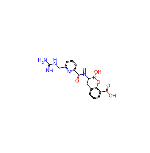 N=C(N)NCc1cccc(C(=O)NC2Cc3cccc(C(=O)O)c3OB2O)n1